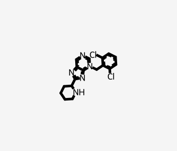 Clc1cccc(Cl)c1Cn1cncc2nc(C3CCCCN3)nc1-2